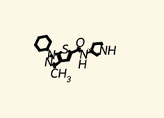 Cc1nn(C2CCCCC2)c2sc(C(=O)N[C@H]3CCNC3)cc12